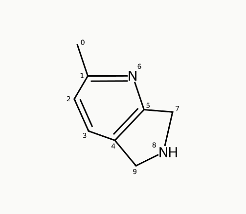 Cc1ccc2c(n1)CNC2